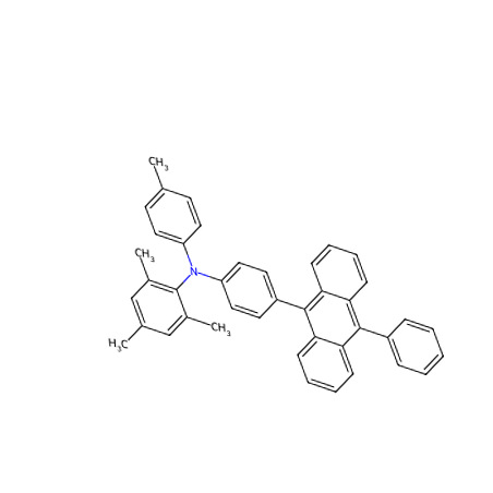 Cc1ccc(N(c2ccc(-c3c4ccccc4c(-c4ccccc4)c4ccccc34)cc2)c2c(C)cc(C)cc2C)cc1